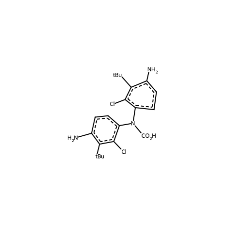 CC(C)(C)c1c(N)ccc(N(C(=O)O)c2ccc(N)c(C(C)(C)C)c2Cl)c1Cl